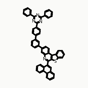 c1ccc(-c2nc(-c3ccccc3)nc(-c3ccc(-c4cccc(-c5ccc6c(c5)nc(-c5cc7ccccc7c7ccccc57)c5sc7ccccc7c56)c4)cc3)n2)cc1